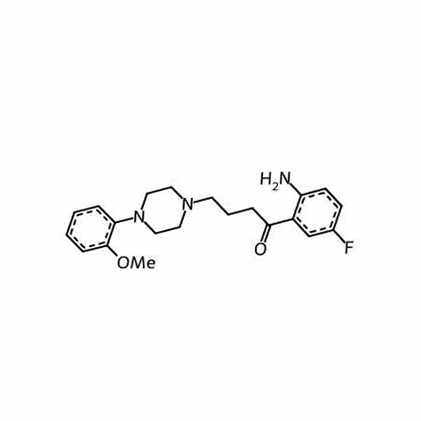 COc1ccccc1N1CCN(CCCC(=O)c2cc(F)ccc2N)CC1